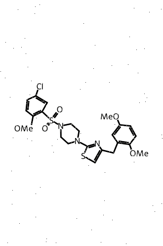 COc1ccc(OC)c(Cc2csc(N3CCN(S(=O)(=O)c4cc(Cl)ccc4OC)CC3)n2)c1